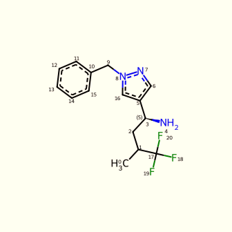 CC(C[C@H](N)c1cnn(Cc2ccccc2)c1)C(F)(F)F